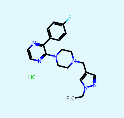 Cl.Fc1ccc(-c2nccnc2N2CCN(Cc3cnn(CC(F)(F)F)c3)CC2)cc1